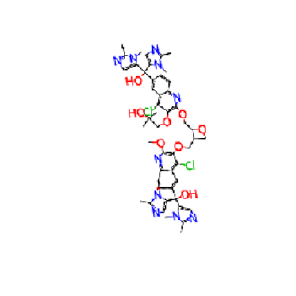 COc1nc2ccc(C(O)(c3cnc(C)n3C)c3cnc(C)n3C)cc2c(Cl)c1OCC1COC1COc1nc2ccc(C(O)(c3cnc(C)n3C)c3cnc(C)n3C)cc2c(Cl)c1OCC(C)(C)O